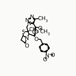 COC(=O)c1c(C)nnn1CC1(C)SC2CC(=O)N2C1C(=O)OCc1ccc([N+](=O)[O-])cc1